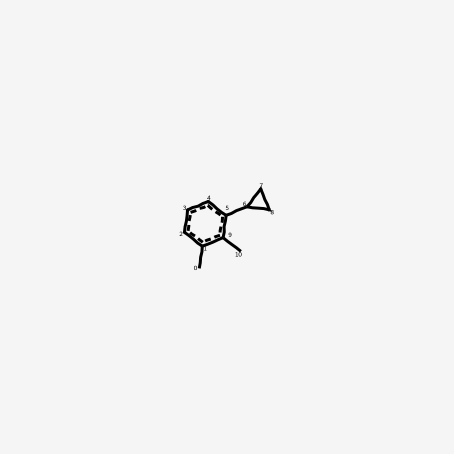 Cc1cc[c]c(C2CC2)c1C